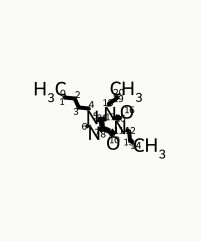 CCCCCn1cnc2c(=O)n(CCC)c(=O)n(CCC)c21